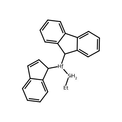 CC[SiH2][Hf]([CH]1C=Cc2ccccc21)[CH]1c2ccccc2-c2ccccc21